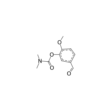 COc1ccc(C=O)cc1OC(=O)N(C)C